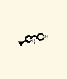 OC1(Cc2ccc(C3CC3)cn2)CCNCC1